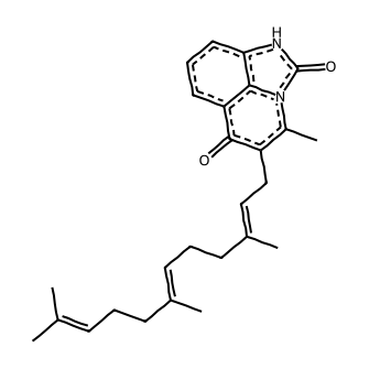 CC(C)=CCC/C(C)=C/CC/C(C)=C/Cc1c(C)n2c(=O)[nH]c3cccc(c1=O)c32